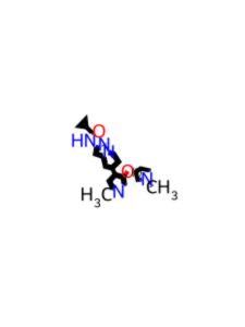 Cc1cc(-c2ccn3nc(NC(=O)C4CC4)cc3c2)c(O[C@H]2CCN(C)C2)cn1